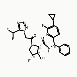 O=C(N[C@@H](c1ccccc1)c1ccc(C2CC2)c(F)n1)[C@@H]1[C@@H](O)[C@H](F)CN1C(=O)Cn1nnnc1C(F)F